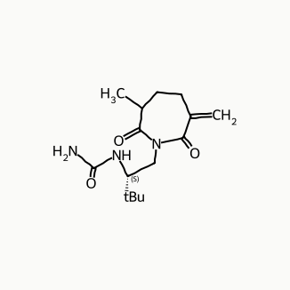 C=C1CCC(C)C(=O)N(C[C@@H](NC(N)=O)C(C)(C)C)C1=O